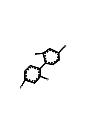 Cc1cc(C(C)C)ccc1-c1ccc(F)cc1F